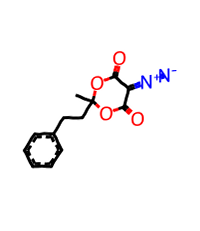 CC1(CCc2ccccc2)OC(=O)C(=[N+]=[N-])C(=O)O1